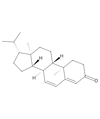 CC(C)[C@H]1CC[C@H]2[C@@H]3C=CC4=CC(=O)CC[C@]4(C)[C@H]3CC[C@]12C